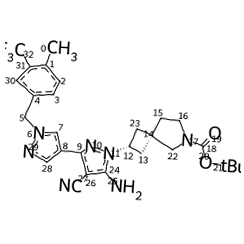 Cc1ccc(Cn2cc(-c3nn([C@H]4C[C@@]5(CCN(C(=O)OC(C)(C)C)C5)C4)c(N)c3C#N)cn2)cc1C(F)(F)F